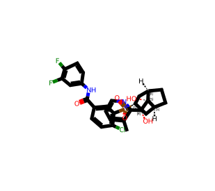 Cc1cccnc1[C@@H](O)[C@@]1(O)[C@@H]2CC[C@H]1C[C@H](S(=O)(=O)c1cc(C(=O)Nc3ccc(F)c(F)c3)ccc1Cl)C2